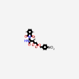 C[C@@H](C(=O)CC(=O)OCc1ccc([N+](=O)[O-])cc1)[C@H]1C(=O)N[C@@H]1N1C(=O)c2ccccc2C1=O